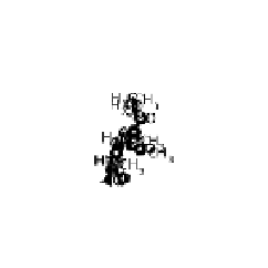 COc1ccc(CN(c2noc3cc(Nc4cc(C5CC5)n(C5CCCCO5)n4)c(OC)cc23)S(=O)(=O)c2c(OC)cc(C3CC(=O)CN(C(=O)OC(C)(C)C)C3)cc2OC)cc1